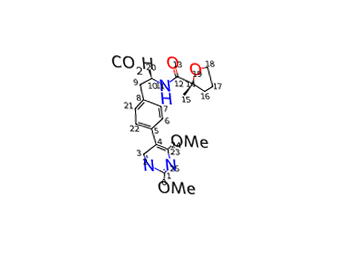 COc1ncc(-c2ccc(C[C@H](NC(=O)[C@@]3(C)CCCO3)C(=O)O)cc2)c(OC)n1